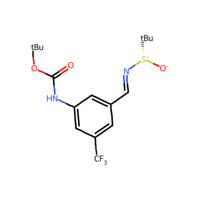 CC(C)(C)OC(=O)Nc1cc(/C=N/[S@@+]([O-])C(C)(C)C)cc(C(F)(F)F)c1